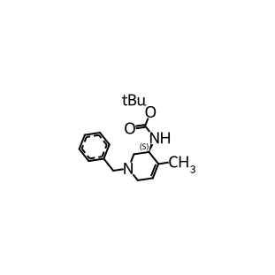 CC1=CCN(Cc2ccccc2)C[C@H]1NC(=O)OC(C)(C)C